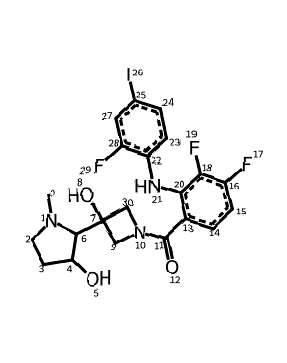 CN1CCC(O)C1C1(O)CN(C(=O)c2ccc(F)c(F)c2Nc2ccc(I)cc2F)C1